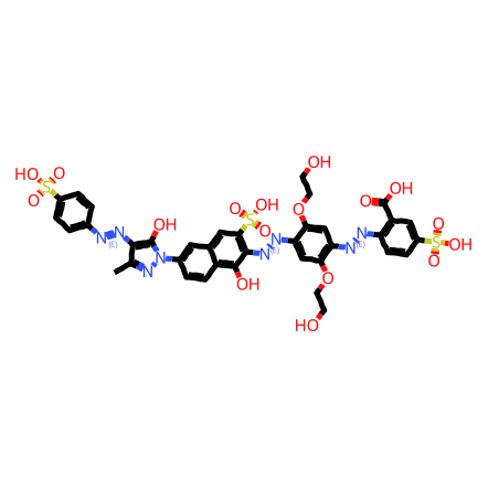 Cc1nn(-c2ccc3c(O)c(/N=N/c4cc(OCCO)c(/N=N/c5ccc(S(=O)(=O)O)cc5C(=O)O)cc4OCCO)c(S(=O)(=O)O)cc3c2)c(O)c1/N=N/c1ccc(S(=O)(=O)O)cc1